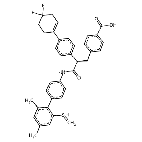 C=[SiH]c1cc(C)cc(C)c1-c1ccc(NC(=O)[C@H](Cc2ccc(C(=O)O)cc2)c2ccc(C3=CCC(F)(F)CC3)cc2)cc1